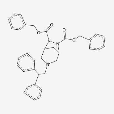 O=C(OCc1ccccc1)N1C2CC(CN(CC(c3ccccc3)c3ccccc3)C2)N1C(=O)OCc1ccccc1